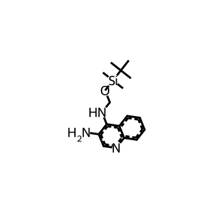 CC(C)(C)[Si](C)(C)OCNc1c(N)cnc2ccccc12